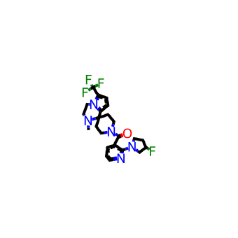 CN1CCn2c(C(F)(F)F)ccc2C12CCN(C(=O)c1cccnc1N1CCC(F)C1)CC2